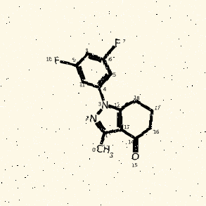 Cc1nn(-c2cc(F)cc(F)c2)c2c1C(=O)CCC2